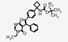 CCn1cnc2oc(-c3ccc(C4(NC(=O)OC(C)(C)C)CCC4)cc3)c(-c3ccccc3)c2c1=O